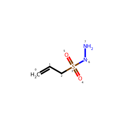 C=CCS(=O)(=O)[N]N